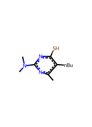 CCCCc1c(C)nc(N(C)C)nc1S